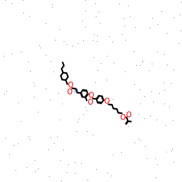 C=C(C)C(=O)OCCCCCCOc1ccc(C(=O)Oc2ccc(/C=C/C(=O)OCC3CCC(CCC)CC3)cc2C)cc1